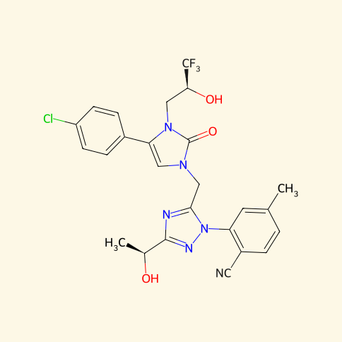 Cc1ccc(C#N)c(-n2nc([C@H](C)O)nc2Cn2cc(-c3ccc(Cl)cc3)n(C[C@H](O)C(F)(F)F)c2=O)c1